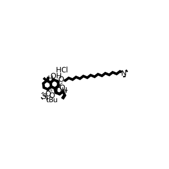 C=C[C@@]1(C)CC(=O)[C@]2(O)[C@@]3(C)[C@@H](O[Si](C)(C)C(C)(C)C)CCC(C)(C)[C@@H]3[C@H](O)[C@H](OCCCCCCCCCCCCCCCCN(C)C)[C@@]2(C)O1.Cl